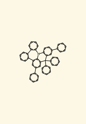 c1ccc(-c2ccc3c(c2)C(c2ccccc2)(c2ccccc2)c2cc(-c4ccccc4)cc4c2N3c2ccccc2-c2ccccc2-4)cc1